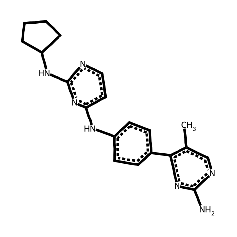 Cc1cnc(N)nc1-c1ccc(Nc2ccnc(NC3CCCC3)n2)cc1